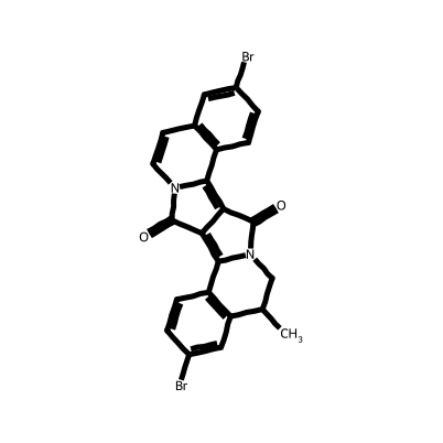 CC1CN2C(=O)C3=C4c5ccc(Br)cc5C=CN4C(=O)C3=C2c2ccc(Br)cc21